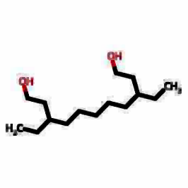 CCC(CCO)CCCCCC(CC)CCO